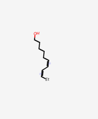 CC/C=C\C=C/CCCCCO